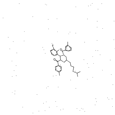 Cc1ccc(C(=O)C2CC(CCCCC(C)C)CC(C(=O)c3cccc(C)c3)C2c2cccc(F)c2C)cc1